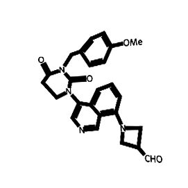 COc1ccc(CN2C(=O)CCN(c3cncc4c(N5CC(C=O)C5)cccc34)C2=O)cc1